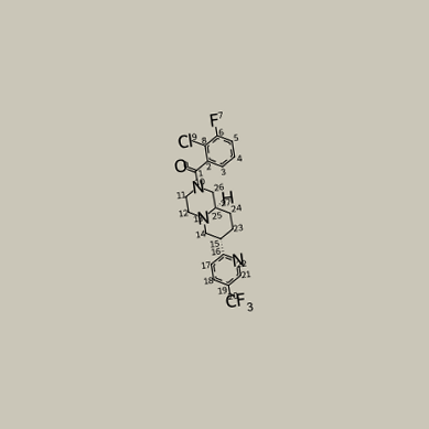 O=C(c1cccc(F)c1Cl)N1CCN2C[C@@H](c3ccc(C(F)(F)F)cn3)CC[C@@H]2C1